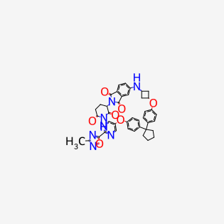 Cc1noc(-c2ncc(Oc3ccc(C4(c5ccc(O[C@H]6C[C@H](Nc7ccc8c(c7)C(=O)N(C7CCC(=O)NC7=O)C8=O)C6)cc5)CCCC4)cc3)cn2)n1